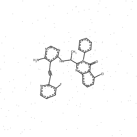 CC(Nc1ncnc(N)c1C#Cc1ncccc1F)c1nc2cccc(Cl)c2c(=O)n1-c1ccccc1